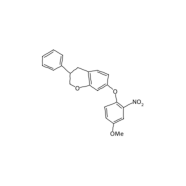 COc1ccc(Oc2ccc3c(c2)OCC(c2ccccc2)C3)c([N+](=O)[O-])c1